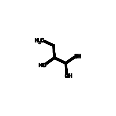 CCC(O)C(O)S